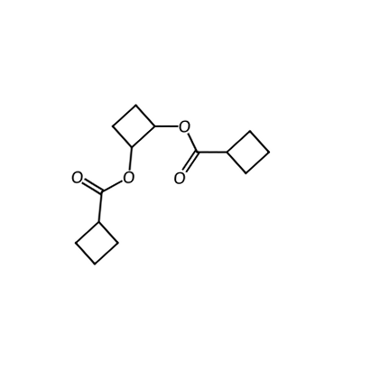 O=C(OC1CCC1OC(=O)C1CCC1)C1CCC1